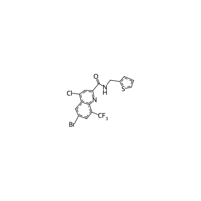 O=C(NCc1cccs1)c1cc(Cl)c2cc(Br)cc(C(F)(F)F)c2n1